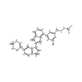 CN(C)CCOc1cc(F)cc(-c2ccnc3[nH]c(-c4n[nH]c5ccc(C6=CCNCC6)nc45)nc23)c1